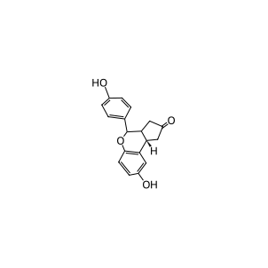 O=C1CC2C(c3ccc(O)cc3)Oc3ccc(O)cc3[C@H]2C1